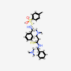 Cc1ccc(S(=O)(=O)SN[C@H](CN(C)CCC(S)N[C@@H](CN(C)C)c2ccccc2)c2ccccc2)cc1